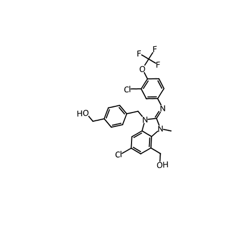 Cn1/c(=N/c2ccc(OC(F)(F)F)c(Cl)c2)n(Cc2ccc(CO)cc2)c2cc(Cl)cc(CO)c21